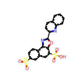 O=[SH](=O)c1ccc2c(c1)cc(S(=O)(=O)O)c1oc(-c3ccc4ccccc4n3)nc12